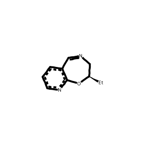 CC[C@@H]1CN=Cc2cccnc2O1